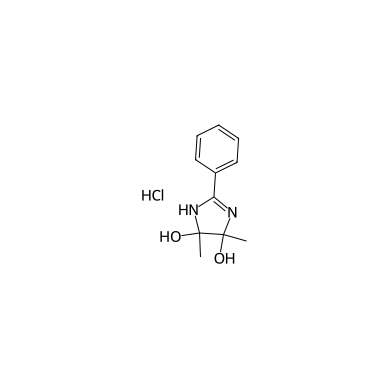 CC1(O)N=C(c2ccccc2)NC1(C)O.Cl